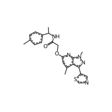 Cc1ccc(C(C)NC(=O)COc2cc(C)c3c(-c4cncs4)nn(C)c3n2)cc1